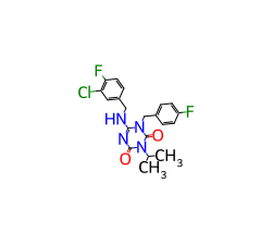 CC(C)n1c(=O)nc(NCc2ccc(F)c(Cl)c2)n(Cc2ccc(F)cc2)c1=O